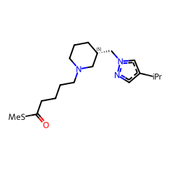 CSC(=O)CCCCN1CCC[C@H](Cn2cc(C(C)C)cn2)C1